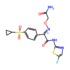 NC(=O)CO/N=C(/C(=O)Nc1ncc(F)s1)c1ccc(S(=O)(=O)C2CC2)cc1